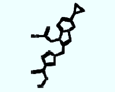 COC(=O)CN1C(Cn2cc(C(=O)OC(C)(C)C)nn2)=CN2CC(C3CC3)=CC=C21